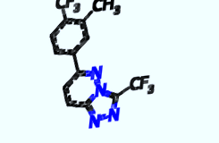 Cc1cc(-c2ccc3nnc(C(F)(F)F)n3n2)ccc1C(F)(F)F